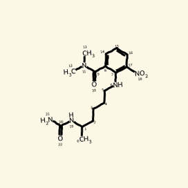 CC(CCCCNc1c(C(=O)N(C)C)cccc1[N+](=O)[O-])NC(N)=O